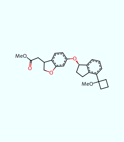 COC(=O)CC1COc2cc(O[C@@H]3CCc4c3cccc4C3(OC)CCC3)ccc21